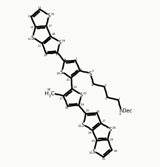 CCCCCCCCCCCCCCSc1cc(-c2cc3sc4ccsc4c3s2)sc1-c1sc(-c2cc3sc4ccsc4c3s2)cc1C